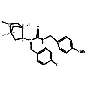 CC(C)COc1ccc(CNC(=O)N(Cc2ccc(F)cc2)[C@H]2C[C@@H]3C[C@H]2CN3C)cc1